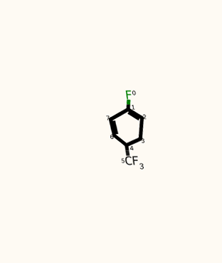 FC1=CCC(C(F)(F)F)C=C1